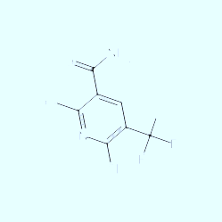 NC(=O)c1cc(C(F)(F)F)c(Cl)nc1Cl